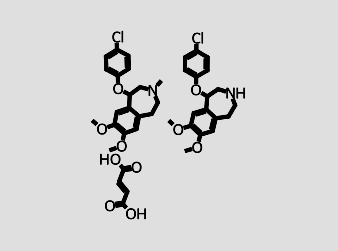 COc1cc2c(cc1OC)C(Oc1ccc(Cl)cc1)CN(C)CC2.COc1cc2c(cc1OC)C(Oc1ccc(Cl)cc1)CNCC2.O=C(O)C=CC(=O)O